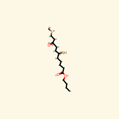 CCCCOC(=O)CCCCC(S)CCC(=O)CCSC